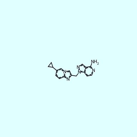 Nc1nccc2c1cnn2Cc1cn2cc(C3CC3)ccc2n1